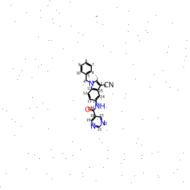 N#Cc1cn(Cc2ccccc2)c2ccc(NC(=O)c3cncnc3)cc12